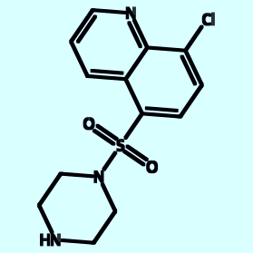 O=S(=O)(c1ccc(Cl)c2ncccc12)N1CCNCC1